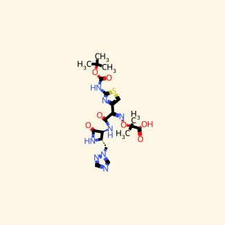 CC(C)(C)OC(=O)Nc1nc(C(=NOC(C)(C)C(=O)O)C(=O)N[C@@H]2C(=O)N[C@H]2Cn2cncn2)cs1